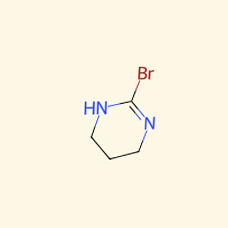 BrC1=NCCCN1